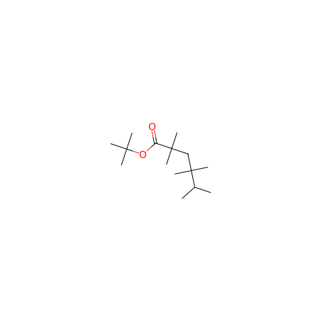 CC(C)C(C)(C)CC(C)(C)C(=O)OC(C)(C)C